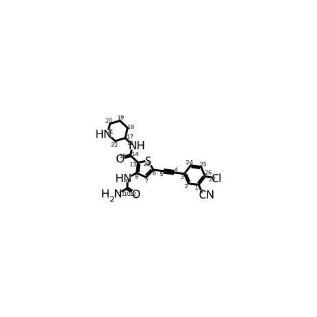 N#Cc1cc(C#Cc2cc(NC(N)=O)c(C(=O)NC3CCCNC3)s2)ccc1Cl